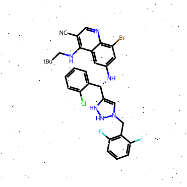 CC(C)(C)CNc1c(C#N)cnc2c(Br)cc(N[C@H](C3=CN(Cc4c(F)cccc4F)NN3)c3ccccc3Cl)cc12